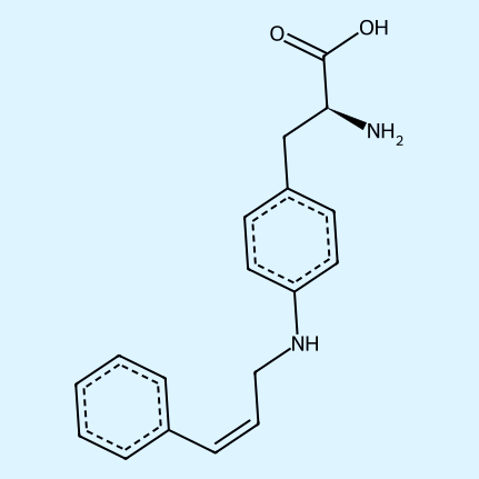 N[C@@H](Cc1ccc(NC/C=C\c2ccccc2)cc1)C(=O)O